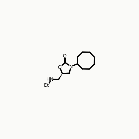 CCNC[C@@H]1CN(C2CCCCCCC2)C(=O)O1